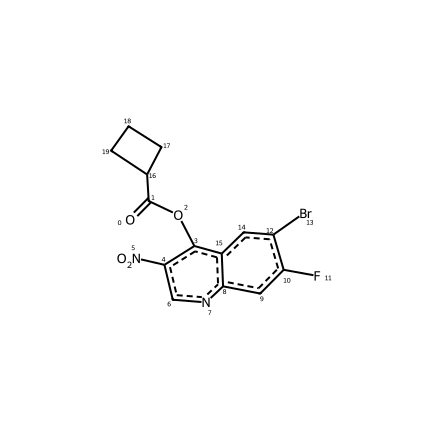 O=C(Oc1c([N+](=O)[O-])cnc2cc(F)c(Br)cc12)C1CCC1